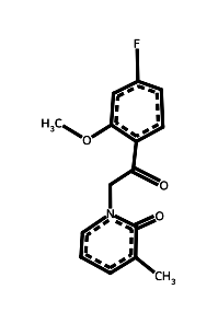 COc1cc(F)ccc1C(=O)Cn1cccc(C)c1=O